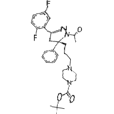 CC(=O)N1N=C(c2cc(F)ccc2F)C[C@@]1(CCCN1CCN(C(=O)OC(C)(C)C)CC1)c1ccccc1